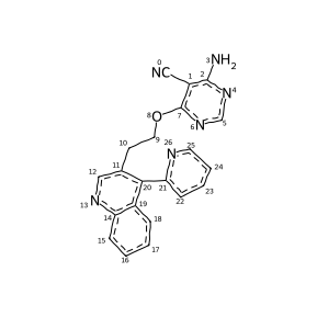 N#Cc1c(N)ncnc1OCCc1cnc2ccccc2c1-c1ccccn1